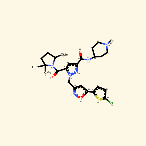 COC1CCC(C)(OC)N1C(=O)c1cc(C(=O)NC2CCN(C(C)C)CC2)nn1Cc1cc(-c2ccc(Cl)s2)on1